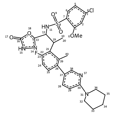 COc1cc(Cl)ccc1S(=O)(=O)NC(c1n[nH]c(=O)o1)C(C)c1c(F)ccc(-c2ccc(N3CCCCC3)nc2)c1C